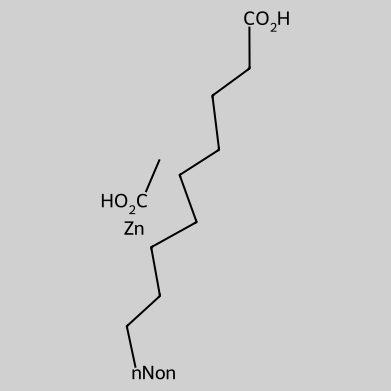 CC(=O)O.CCCCCCCCCCCCCCCCCC(=O)O.[Zn]